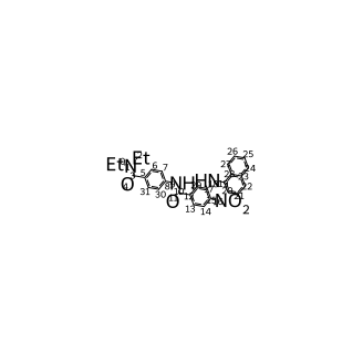 CCN(CC)C(=O)c1ccc(NC(=O)c2ccc([N+](=O)[O-])c(Nc3cccc4ccccc34)c2)cc1